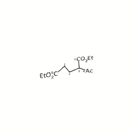 CCOC(=O)CCC(C(C)=O)C(=O)OCC